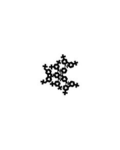 CC(C)(C)Cc1ccc2c(c1)c1cc(CC(C)(C)C)ccc1n2-c1cc2c3c(c1)N(c1cc(C(C)(C)C)cc(C(C)(C)C)c1)c1cc(-n4c5ccc(C(C)(C)C)cc5c5cc(C(C)(C)C)ccc54)ccc1B3c1ccc(-n3c4ccc(C(C)(C)C)cc4c4cc(C(C)(C)C)ccc43)cc1N2c1cc(C(C)(C)C)cc(C(C)(C)C)c1